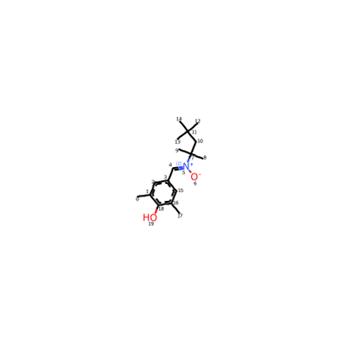 Cc1cc(/C=[N+](\[O-])C(C)(C)CC(C)(C)C)cc(C)c1O